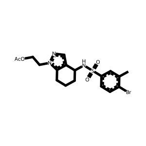 CC(=O)OCCn1ncc2c1CCCC2NS(=O)(=O)c1ccc(Br)c(C)c1